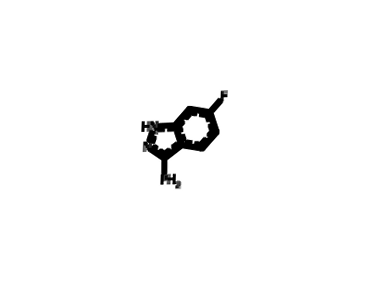 Fc1ccc2c(P)n[nH]c2c1